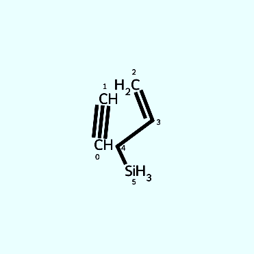 C#C.C=CC[SiH3]